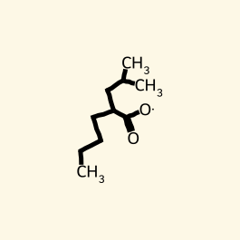 CCCCC(CC(C)C)C([O])=O